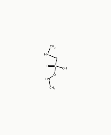 CNOP(=O)(O)SNC